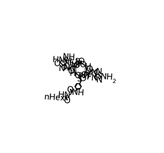 B[P@@]1(=O)OC[C@H]2O[C@@H](n3cnc4c(N)ncnc43)[C@H](F)[C@@H]2O[P@](=O)(SCc2ccc(NC(=O)CNC(=O)CCCCCC)cc2)OC[C@H]2O[C@@H](n3cnc4c(=O)[nH]c(N)nc43)[C@H](F)[C@@H]2O1